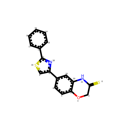 S=C1COc2ccc(-c3csc(-c4ccccc4)n3)cc2N1